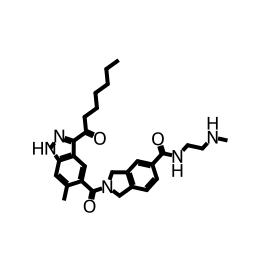 CCCCCCC(=O)c1n[nH]c2cc(C)c(C(=O)N3Cc4ccc(C(=O)NCCNC)cc4C3)cc12